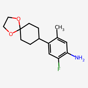 Cc1cc(N)c(F)cc1C1CCC2(CC1)OCCO2